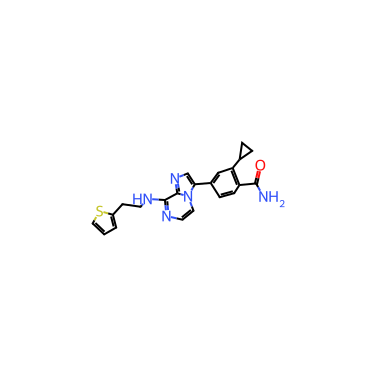 NC(=O)c1ccc(-c2cnc3c(NCCc4cccs4)nccn23)cc1C1CC1